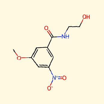 COc1cc(C(=O)NCCO)cc([N+](=O)[O-])c1